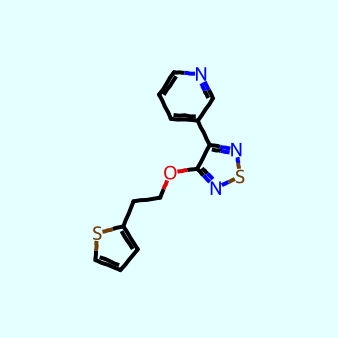 c1cncc(-c2nsnc2OCCc2cccs2)c1